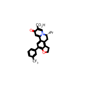 CC(C)[C@@H]1Cc2c(cc(-c3cccc(C(F)(F)F)c3)c3c2CCO3)-c2cc(=O)c(C(=O)O)cn21